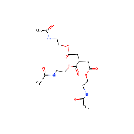 O=C(CC(CC(=O)OCCNC(=O)C(Cl)(Cl)Cl)C(=O)OCCNC(=O)C(Cl)(Cl)Cl)OCCNC(=O)C(Cl)(Cl)Cl